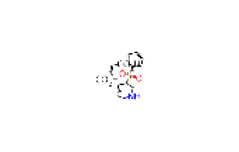 O=C(O)/C=C\C(=O)O.O=S(=O)(c1ccccc1)C1CCCNC1